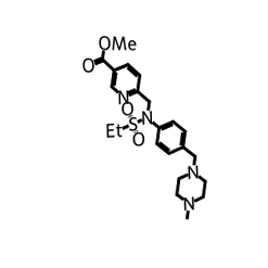 CCS(=O)(=O)N(Cc1ccc(C(=O)OC)cn1)c1ccc(CN2CCN(C)CC2)cc1